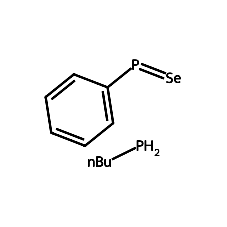 CCCCP.[Se]=Pc1ccccc1